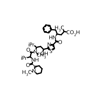 CC(CC(Cc1ccccc1)NC(=O)c1csc(C(O)CC(C(C)C)N(C)C(=O)C(NC(=O)[C@H]2CCCCN2C)C(C)C)n1)C(=O)O